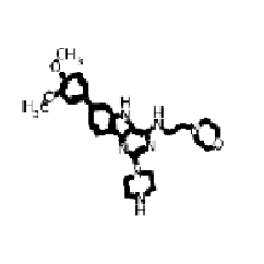 COc1ccc(-c2ccc3c(c2)[nH]c2c(NCCN4CCOCC4)nc(N4CCNCC4)nc23)cc1OC